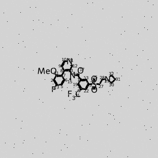 COc1cc(F)ccc1-c1ccncc1N(C)C(=O)c1cc(C(F)(F)F)cc(S(=O)(=O)CCN2CCC2)c1